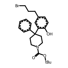 CC(C)(C)OC(=O)N1CCC(c2ccccc2)(c2cc(CCCBr)ccc2O)CC1